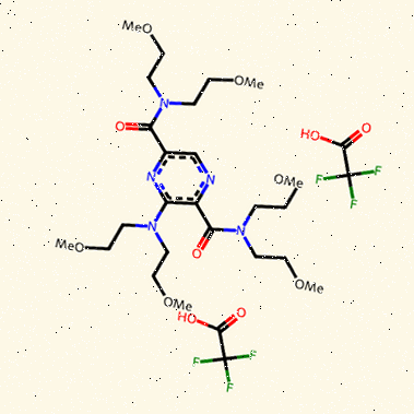 COCCN(CCOC)C(=O)c1cnc(C(=O)N(CCOC)CCOC)c(N(CCOC)CCOC)n1.O=C(O)C(F)(F)F.O=C(O)C(F)(F)F